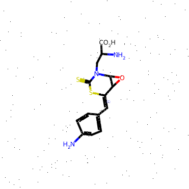 Nc1ccc(/C=C2\SC(=S)N(CC(N)C(=O)O)C3OC23)cc1